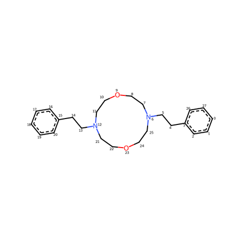 c1ccc(CCN2CCOCCN(CCc3ccccc3)CCOCC2)cc1